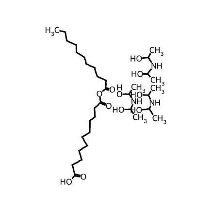 CC(O)NC(C)O.CC(O)NC(C)O.CC(O)NC(C)O.CCCCCCCCCCC(=O)OC(=O)CCCCCCCCCC(=O)O